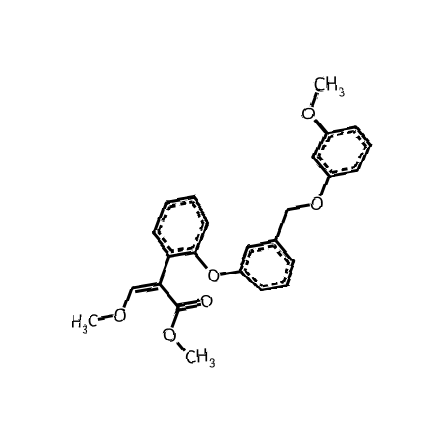 COC=C(C(=O)OC)c1ccccc1Oc1cccc(COc2cccc(OC)c2)c1